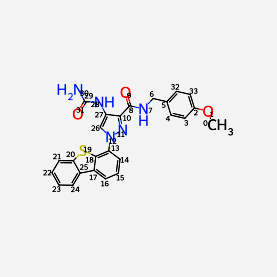 COc1ccc(CNC(=O)c2nn(-c3cccc4c3sc3ccccc34)cc2NC(N)=O)cc1